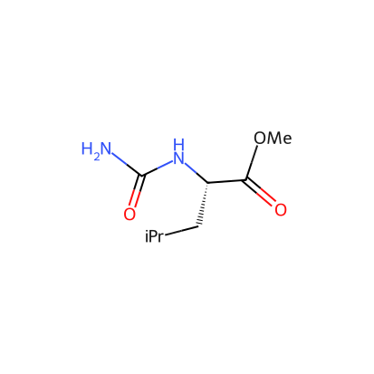 COC(=O)[C@H](CC(C)C)NC(N)=O